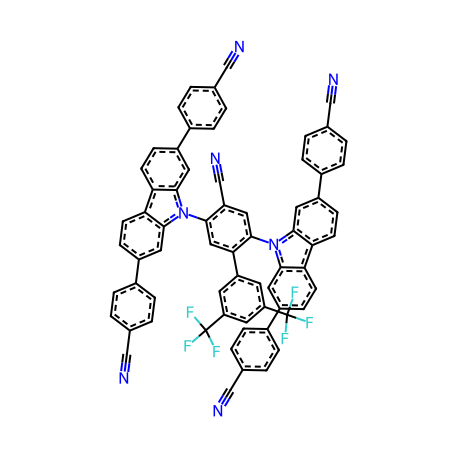 N#Cc1ccc(-c2ccc3c4ccc(-c5ccc(C#N)cc5)cc4n(-c4cc(-c5cc(C(F)(F)F)cc(C(F)(F)F)c5)c(-n5c6cc(-c7ccc(C#N)cc7)ccc6c6ccc(-c7ccc(C#N)cc7)cc65)cc4C#N)c3c2)cc1